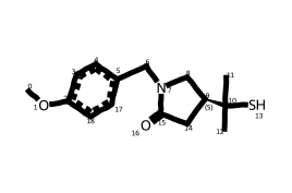 COc1ccc(CN2C[C@@H](C(C)(C)S)CC2=O)cc1